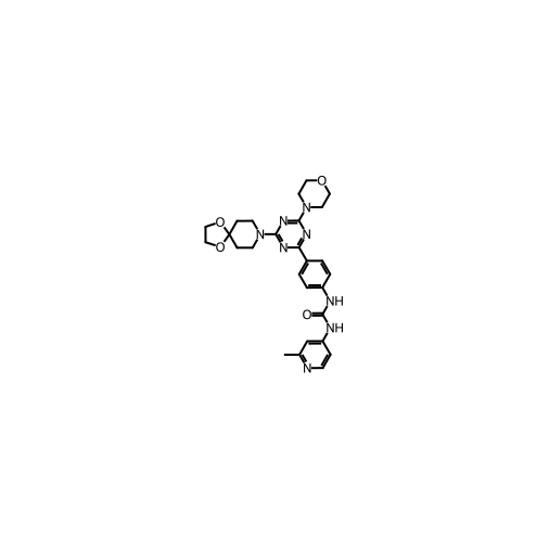 Cc1cc(NC(=O)Nc2ccc(-c3nc(N4CCOCC4)nc(N4CCC5(CC4)OCCO5)n3)cc2)ccn1